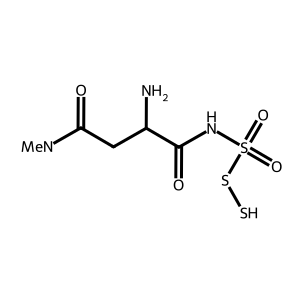 CNC(=O)CC(N)C(=O)NS(=O)(=O)SS